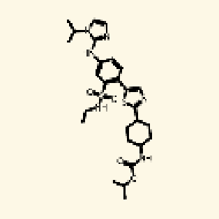 CCNS(=O)(=O)c1cc(Nc2nccn2C(C)C)ccc1-c1cnc(C2CCC(NC(=O)OC(C)C)CC2)s1